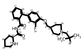 CC(C)(F)CN1CCC(COc2ccc(-c3ccccc3C(=O)NC(=O)[C@@H]3CCCCN3)cc2F)CC1